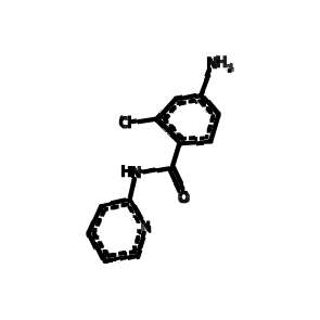 Nc1ccc(C(=O)Nc2ccccn2)c(Cl)c1